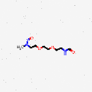 CN(CCOCCOCCNC=O)N=O